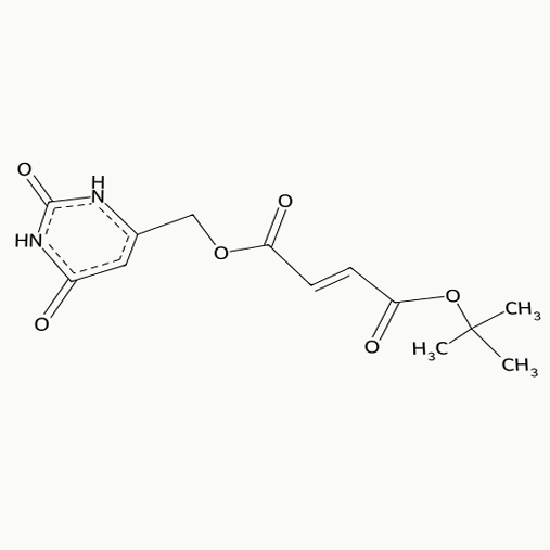 CC(C)(C)OC(=O)/C=C/C(=O)OCc1cc(=O)[nH]c(=O)[nH]1